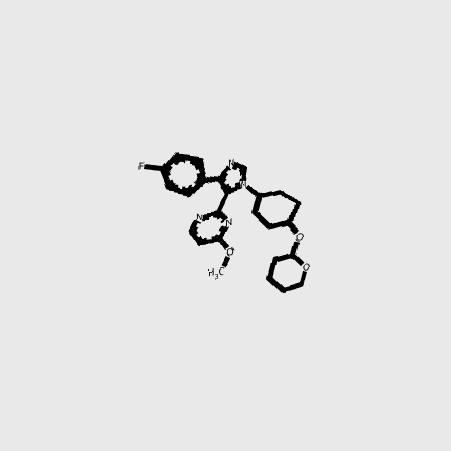 COc1ccnc(-c2c(-c3ccc(F)cc3)ncn2C2CCC(OC3CCCCO3)CC2)n1